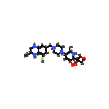 CCc1cnc2cc(CN3CCN(c4ccc(C5(O)COC5)nc4C)CC3)cc(F)c2n1